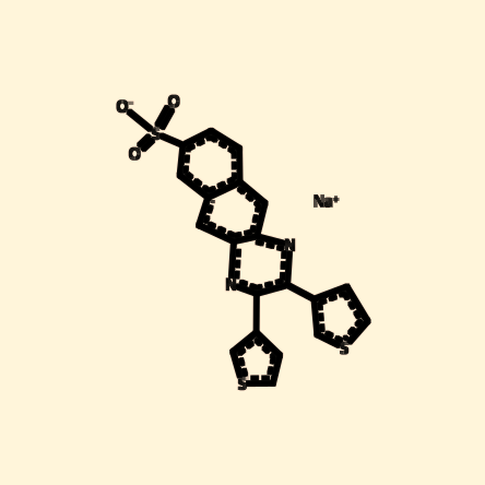 O=S(=O)([O-])c1ccc2cc3nc(-c4ccsc4)c(-c4ccsc4)nc3cc2c1.[Na+]